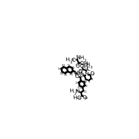 C[C@@H](C(=O)O)N1C(=O)CCCC1=O.C[C@H](N)C(=O)O.N[C@@H](Cc1ccc(CONc2ccc3ccccc3c2)cc1)C(=O)O